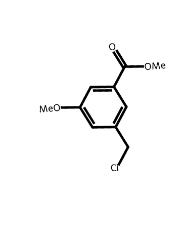 COC(=O)c1cc(CCl)cc(OC)c1